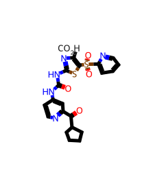 O=C(Nc1ccnc(C(=O)C2CCCC2)c1)Nc1nc(C(=O)O)c(S(=O)(=O)c2ccccn2)s1